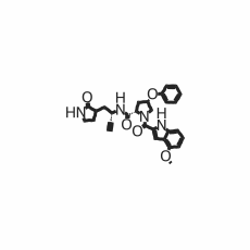 C#C[C@H](CC1CCNC1=O)NC(=O)[C@@H]1C[C@@H](Oc2ccccc2)CN1C(=O)c1cc2c(OC)cccc2[nH]1